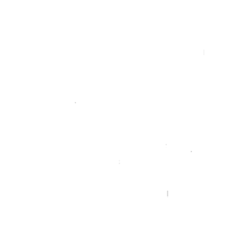 C=C(C)C(=O)OC(C)C(CCCCCCCC)CCC[n+]1ccccc1